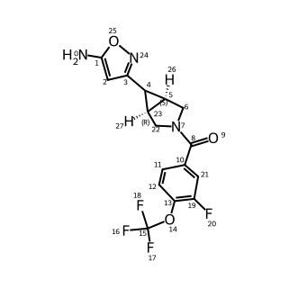 Nc1cc(C2[C@H]3CN(C(=O)c4ccc(OC(F)(F)F)c(F)c4)C[C@@H]23)no1